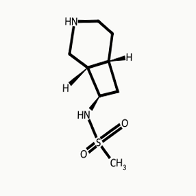 CS(=O)(=O)N[C@@H]1C[C@H]2CCNC[C@H]21